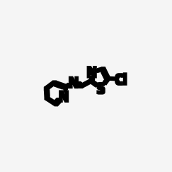 Clc1cnc(/C=N/c2ccccn2)s1